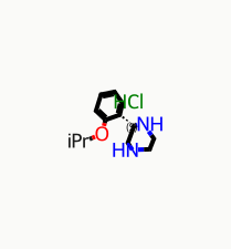 CC(C)Oc1ccccc1[C@H]1CNCCN1.Cl